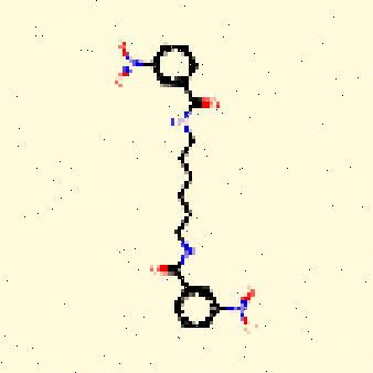 O=C(NCCCCCCNC(=O)c1cccc([N+](=O)[O-])c1)c1cccc([N+](=O)[O-])c1